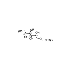 CCCCCCCCOC[C@H](O)[C@@H](O)[C@H](O)[C@H](O)CO